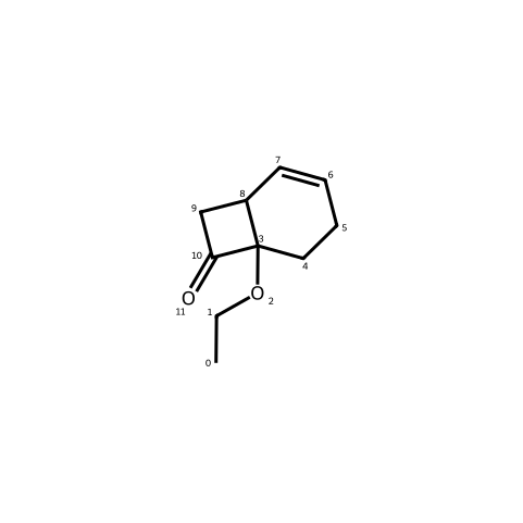 CCOC12CCC=CC1CC2=O